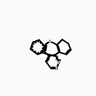 C1=CC2=C(CC1)SC=CC1=CC=NN3C=NN(c4ccccc4)C123